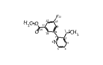 CCc1cccnc1-c1cc(F)cc(C(=O)OC)c1